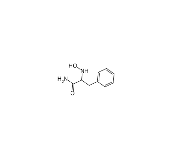 NC(=O)C(Cc1ccccc1)NO